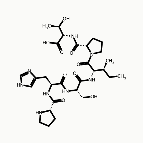 CC[C@H](C)[C@H](NC(=O)[C@H](CO)NC(=O)[C@H](Cc1c[nH]cn1)NC(=O)[C@@H]1CCCN1)C(=O)N1CCC[C@H]1C(=O)N[C@H](C(=O)O)[C@@H](C)O